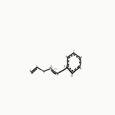 C=CC/N=C/c1ccccc1